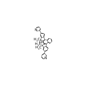 CC1(C)c2cc(-c3cccnc3)ccc2-c2c1c1c(c3ccccc23)-c2ccc(-c3cccnc3)cc2C1(C)C